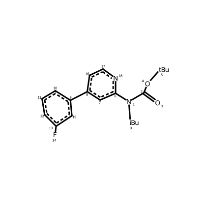 CCC(C)N(C(=O)OC(C)(C)C)c1cc(-c2[c]ccc(F)c2)ccn1